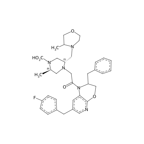 CC1COCCN1C[C@H]1CN(C(=O)O)[C@H](C)CN1CC(=O)N1c2cc(Cc3ccc(F)cc3)cnc2OCC1Cc1ccccc1